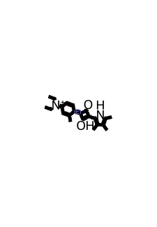 CC[N+](CC)=C1C=C/C(=C2\C(=O)C(c3[nH]c(C)c(C)c3C)=C2O)C(C)=C1